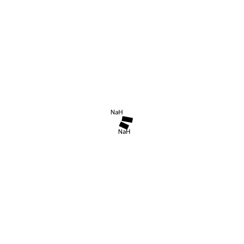 C#C.C#C.[NaH].[NaH]